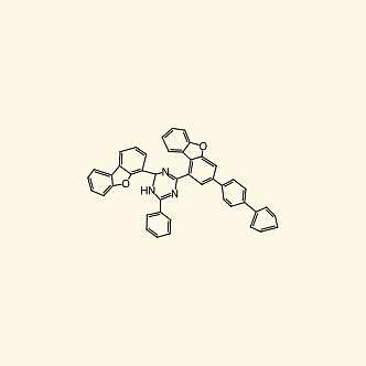 c1ccc(C2=NC(c3cc(-c4ccc(-c5ccccc5)cc4)cc4oc5ccccc5c34)=NC(c3cccc4c3oc3ccccc34)N2)cc1